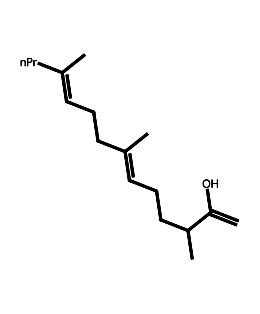 C=C(O)C(C)CC/C=C(\C)CC/C=C(\C)CCC